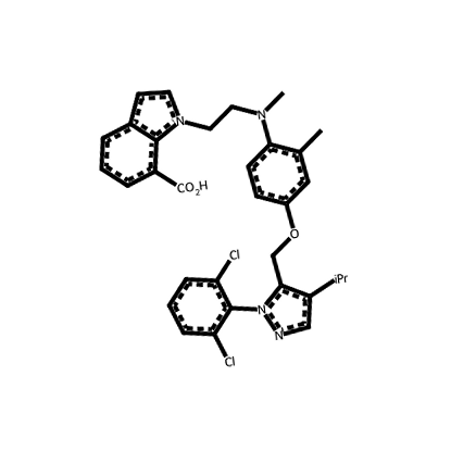 Cc1cc(OCc2c(C(C)C)cnn2-c2c(Cl)cccc2Cl)ccc1N(C)CCn1ccc2cccc(C(=O)O)c21